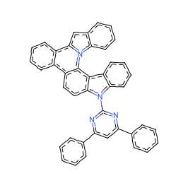 c1ccc(-c2cc(-c3ccccc3)nc(-n3c4ccccc4c4c3ccc3c5ccccc5c5cc6ccccc6n5c34)n2)cc1